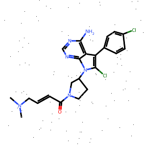 CN(C)CC=CC(=O)N1CCC(n2c(Cl)c(-c3ccc(Cl)cc3)c3c(N)ncnc32)C1